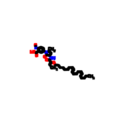 CC/C=C\C/C=C\C/C=C\C/C=C\C/C=C\CCCCOC(CC)C(=O)NC1CC(C)N(c2ccc(N=O)c(C(=O)O)c2)C1=O